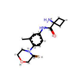 Cc1cc(NC(=O)C2(N)CCC2)ccc1N1CCOCC1=S